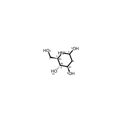 OC[C@H]1NC(O)C[C@@H](O)[C@@H]1O